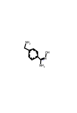 NCc1ccc(/C(N)=N\O)cc1